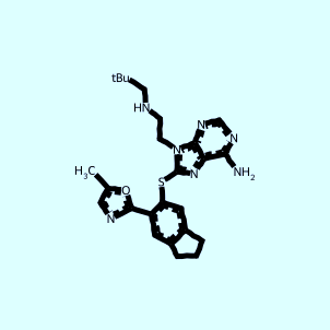 Cc1cnc(-c2cc3c(cc2Sc2nc4c(N)ncnc4n2CCNCC(C)(C)C)CCC3)o1